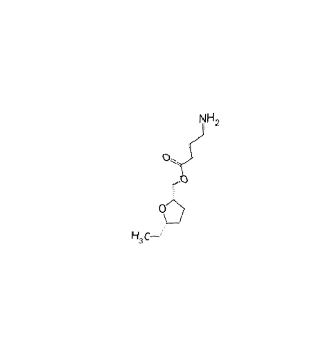 CC[C@H]1CC[C@@H](COC(=O)CCCN)O1